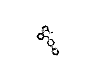 COC1=CC=C[SH]1c1ccccc1CN1CCN(c2ncccn2)CC1